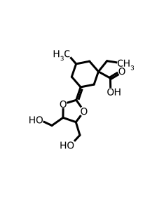 CCC1(C(=O)O)CC(=C2OC(CO)C(CO)O2)CC(C)C1